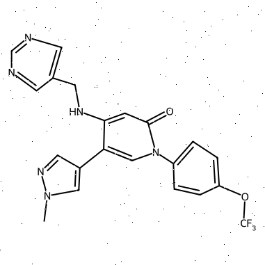 Cn1cc(-c2cn(-c3ccc(OC(F)(F)F)cc3)c(=O)cc2NCc2cncnc2)cn1